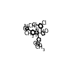 Cc1noc(C)c1-c1ccc2c(c1)nc([C@@H]1CCC(=O)N1c1cc(Cl)cc(Cl)c1)n2[C@@H]1CCN(S(C)(=O)=O)C1